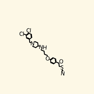 N#CSCC(=O)c1ccc(OCCCCNC2CCN(Cc3ccc(Cl)c(Cl)c3)CC2)cc1